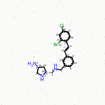 N[C@@H]1CN[C@@H](CNCc2cccc(/C=C/c3ccc(Cl)cc3Br)c2)C1